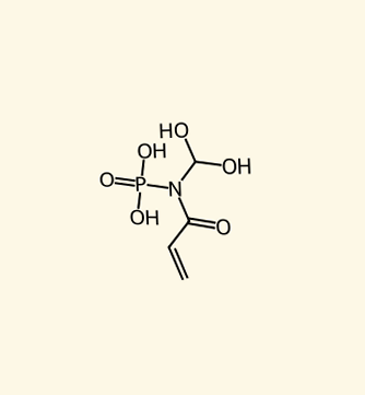 C=CC(=O)N(C(O)O)P(=O)(O)O